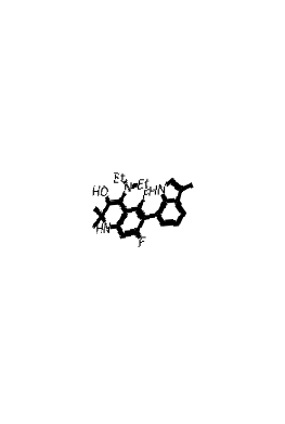 CCN(CC)C1c2c(cc(F)c(-c3cccc4c(C)c[nH]c34)c2F)NC(C)(C)C1O